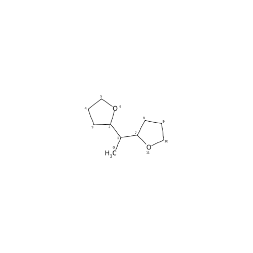 CC(C1CCCO1)C1CCCO1